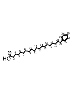 O=C(O)CCCCCCCCCCCCCCCCCCCc1ccccc1